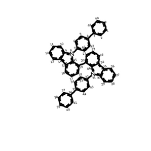 c1ccc(-c2ccc(-n3c4ccccc4c4cccc(-c5cccc6c7ccccc7n(-c7ccc(-c8ccccc8)cc7)c56)c43)cc2)cc1